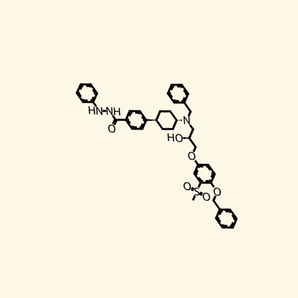 CS(=O)(=O)c1cc(OC[C@@H](O)CN(Cc2ccccc2)[C@H]2CC[C@H](c3ccc(C(=O)NNc4ccccc4)cc3)CC2)ccc1OCc1ccccc1